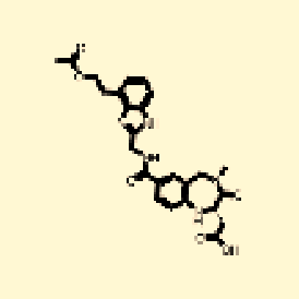 CC(=O)OCCc1cccc2[nH]c(CNC(=O)c3ccc4c(c3)CN(C)C(=O)[C@H](CC(=O)O)N4)nc12